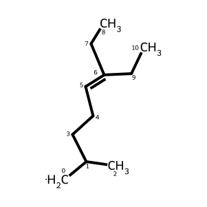 [CH2]C(C)CCC=C(CC)CC